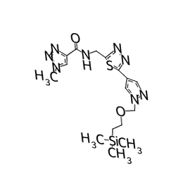 Cn1cc(C(=O)NCc2nnc(-c3cnn(COCC[Si](C)(C)C)c3)s2)nn1